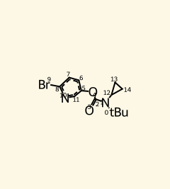 CC(C)(C)N(C(=O)Oc1ccc(Br)nc1)C1CC1